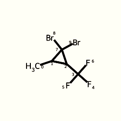 CC1C(C(F)(F)F)C1(Br)Br